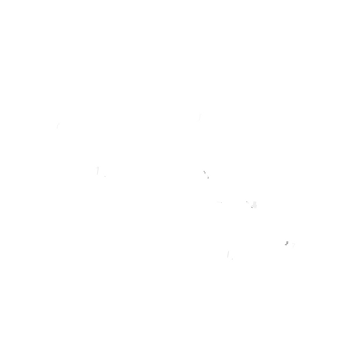 CC(C)C(C)NC(=O)Nc1c(Cl)cc(C(C)(O)C(F)(F)F)cc1Cl